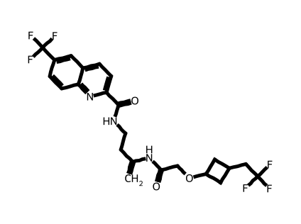 C=C(CCNC(=O)c1ccc2cc(C(F)(F)F)ccc2n1)NC(=O)COC1CC(CC(F)(F)F)C1